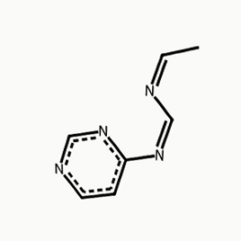 C/C=N\C=N/c1ccncn1